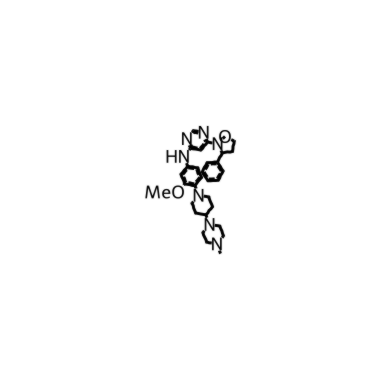 COc1cc(Nc2cc(N3OCCC3c3ccccc3)ncn2)ccc1N1CCC(N2CCN(C)CC2)CC1